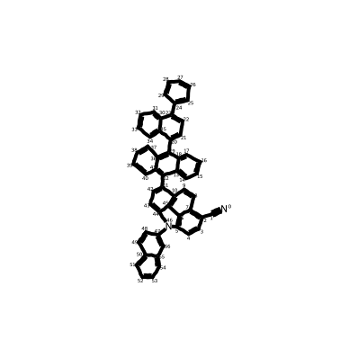 N#Cc1ccc2c3c1ccc1c(-c4c5ccccc5c(-c5ccc(-c6ccccc6)c6ccccc56)c5ccccc45)ccc(c13)n2-c1ccc2ccccc2c1